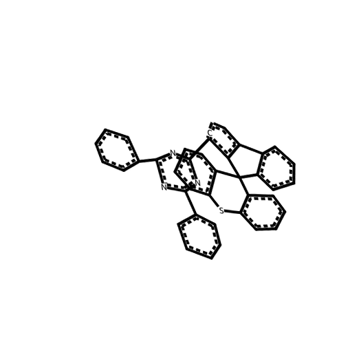 c1ccc(-c2nc(-c3ccccc3)nc(-c3cccc4c3C3(c5ccccc5Sc5ccccc53)c3ccccc3-4)n2)cc1